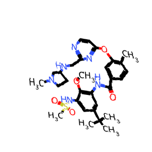 COc1c(NC(=O)c2ccc(C)c(Oc3ccnc(CNC4CCN(C)C4)n3)c2)cc(C(C)(C)C)cc1NS(C)(=O)=O